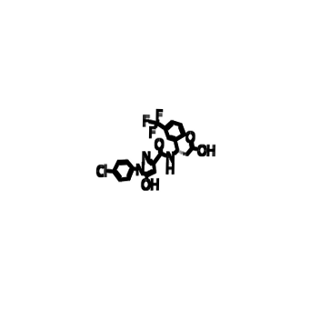 O=C(O)C[C@H](NC(=O)c1cc(O)n(-c2ccc(Cl)cc2)n1)c1cccc(C(F)(F)F)c1